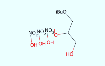 CC(C)COCC(O)CO.O=[N+]([O-])O.O=[N+]([O-])O.O=[N+]([O-])O